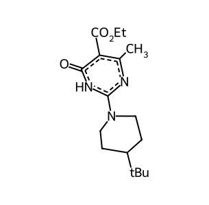 CCOC(=O)c1c(C)nc(N2CCC(C(C)(C)C)CC2)[nH]c1=O